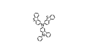 c1ccc(-n2c3ccccc3c3cc(N(c4ccc5c(c4)sc4ccccc45)c4ccc5sc6ccccc6c5c4)ccc32)cc1